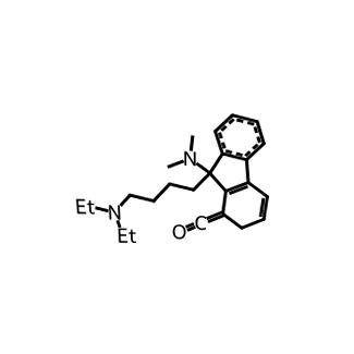 CCN(CC)CCCCC1(N(C)C)C2=C(C=CCC2=C=O)c2ccccc21